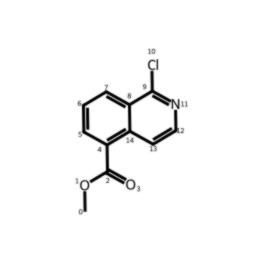 COC(=O)c1cccc2c(Cl)nccc12